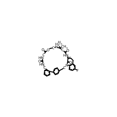 CC1(C)CC(=O)N[C@@H]2CCc3cc(F)ccc3N(Cc3ccc(cc3)-c3ccccc3CNC(=O)NCC(=O)OCCN1)C2=O